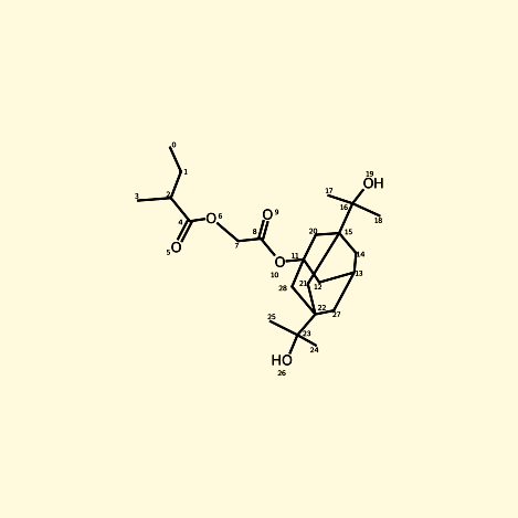 CCC(C)C(=O)OCC(=O)OC12CC3CC(C(C)(C)O)(C1)CC(C(C)(C)O)(C3)C2